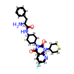 N[C@@H](Cc1ccccc1)C(=O)NC1CCC(n2c(=O)c3cc(F)cnc3n(C3CCSCC3)c2=O)CC1